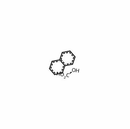 O=C(O)O.c1ccc2ccccc2c1